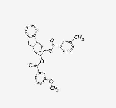 COc1cccc(C(=O)OC2C3CC(C2OC(=O)c2cccc(C)c2)C2c4ccccc4CC32)c1